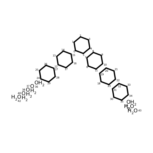 C1CCCCC1.C1CCCCC1.C1CCCCC1.C1CCCCC1.C1CCCCC1.C1CCCCC1.O.O.O.O.O.O.O.O